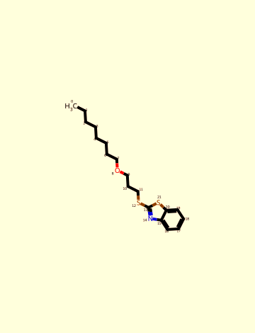 CCCCCCCCOCCCSc1nc2ccccc2s1